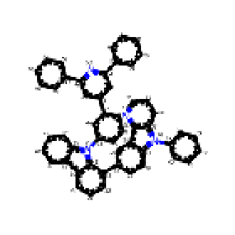 c1ccc(-c2cc(-c3cccc(-n4c5ccccc5c5cccc(-c6ccc7c(c6)c6ncccc6n7-c6ccccc6)c54)c3)cc(-c3ccccc3)n2)cc1